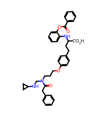 O=C(Oc1ccccc1NC(CCc1ccc(OCCCN(CNC2CC2)C(=O)Cc2ccccc2)cc1)C(=O)O)c1ccccc1